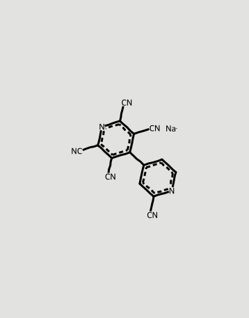 N#Cc1cc(-c2c(C#N)c(C#N)nc(C#N)c2C#N)ccn1.[Na]